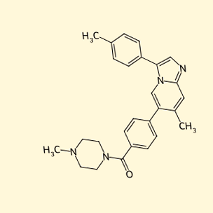 Cc1ccc(-c2cnc3cc(C)c(-c4ccc(C(=O)N5CCN(C)CC5)cc4)cn23)cc1